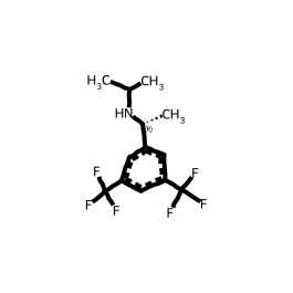 CC(C)N[C@H](C)c1cc(C(F)(F)F)cc(C(F)(F)F)c1